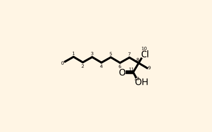 CCCCCCCCC(C)(Cl)C(=O)O